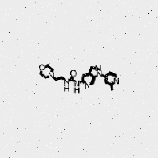 Cc1cc(-n2ncc3cc(NC(=O)NCCN4CCOCC4)ncc32)ccn1